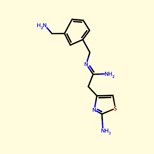 NCc1cccc(CN=C(N)Cc2csc(N)n2)c1